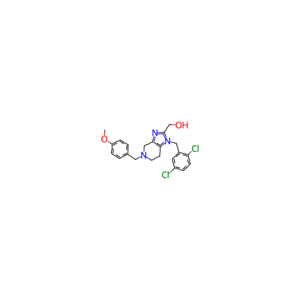 COc1ccc(CN2CCc3c(nc(CO)n3Cc3cc(Cl)ccc3Cl)C2)cc1